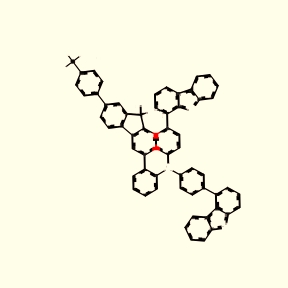 CC(C)(C)c1ccc(-c2ccc3c(c2)C(C)(C)c2ccc(-c4ccccc4N(c4ccc(-c5cccc6c5oc5ccccc56)cc4)c4ccc(-c5cccc6sc7ccccc7c56)cc4)cc2-3)cc1